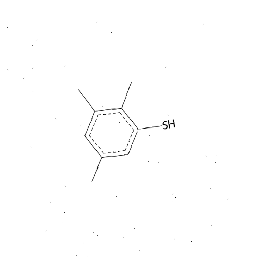 Cc1cc(C)c(C)c(S)c1